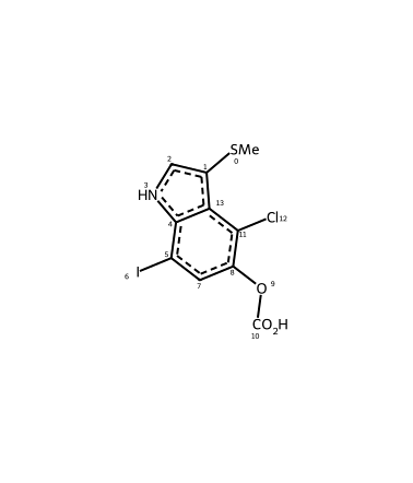 CSc1c[nH]c2c(I)cc(OC(=O)O)c(Cl)c12